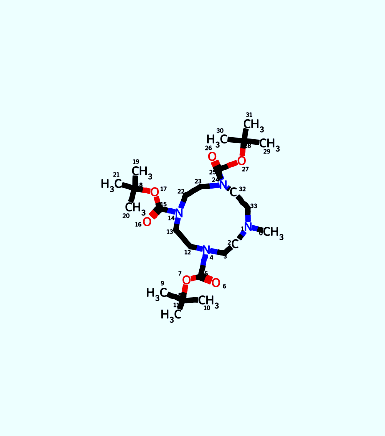 CN1CCN(C(=O)OC(C)(C)C)CCN(C(=O)OC(C)(C)C)CCN(C(=O)OC(C)(C)C)CC1